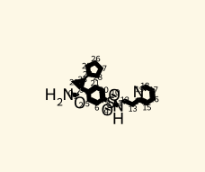 NC(=O)[C@]1(c2ccc(S(=O)(=O)NCCc3ccccn3)cc2)C[C@H]1C1CCCC1